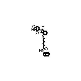 O=C1CCC(N2Cc3c(SCCCCCCC(=O)NC4C5CC6CC(C5)CC4C6)cccc3C2=O)C(=O)N1